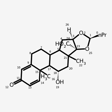 CCC[C@@H]1O[C@@H]2CC3C4CCC5=CC(=O)C=CC5(C)C4[C@@H](O)CC3(C)[C@]2(C(=O)O)O1